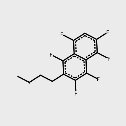 [CH2][CH]CCc1c(F)c(F)c2c(F)c(F)cc(F)c2c1F